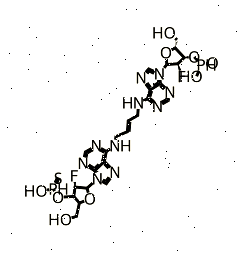 O=[PH](O)O[C@@H]1[C@@H](CO)OC(n2cnc3c(NC/C=C/CNc4ncnc5c4ncn5C4OC(CO)C(O[PH](O)=S)[C@H]4F)ncnc32)[C@@H]1F